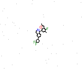 Cc1cc2c(F)c(C)cc(-c3nccc4cc(C5CCC(F)(F)C5)ccc34)c2o1